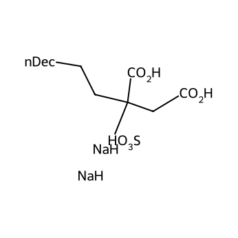 CCCCCCCCCCCCC(CC(=O)O)(C(=O)O)S(=O)(=O)O.[NaH].[NaH]